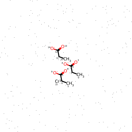 CCC(=O)[O-].CCC(=O)[O-].CCC(=O)[O-].[Cr+3]